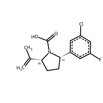 C=C(C)[C@H]1CC[C@@H](c2cc(F)cc(Cl)c2)N1C(=O)O